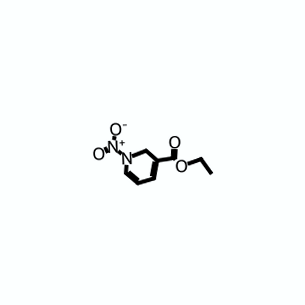 CCOC(=O)C1=CC=CN([N+](=O)[O-])C1